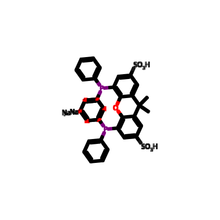 CC1(C)c2cc(S(=O)(=O)O)cc(P(c3ccccc3)c3ccccc3)c2Oc2c(P(c3ccccc3)c3ccccc3)cc(S(=O)(=O)O)cc21.[Na].[Na]